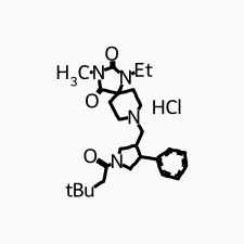 CCN1C(=O)N(C)C(=O)C12CCN(CC1CN(C(=O)CC(C)(C)C)CC1c1ccccc1)CC2.Cl